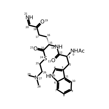 CC(=O)N[C@@H](Cc1c[nH]c2ccccc12)C(=O)N[C@@H](CCC(=O)C=N)C(=O)SCCN(C)C